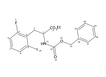 CCOC(=O)C(Cc1c(F)cccc1I)NC(=O)OCc1ccccc1